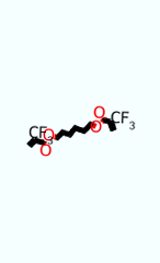 C=C(C(=O)OCCCCCCOC(=O)C(=C)C(F)(F)F)C(F)(F)F